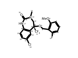 COc1cccc(F)c1CO[C@@]1(C(F)(F)F)CN(C)C(=O)Nc2ccc(Cl)cc21